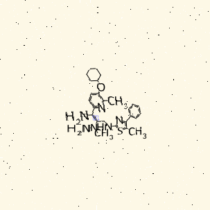 Cc1nc(/C(N)=C(\CNc2nc(-c3ccccc3)c(C)s2)N(C)N)ccc1OC1CCCCC1